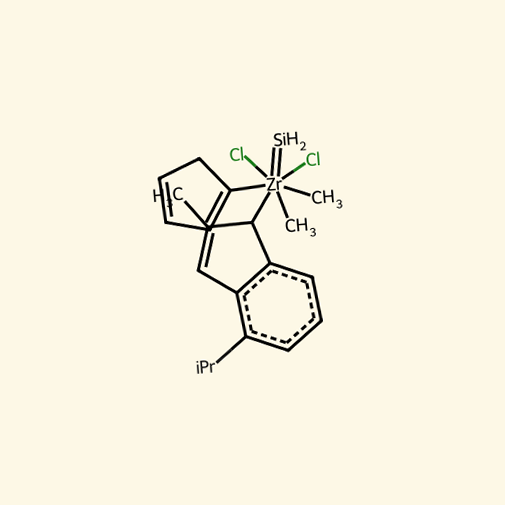 CC1=Cc2c(C(C)C)cccc2[CH]1[Zr]([CH3])([CH3])(=[SiH2])([Cl])([Cl])[C]1=CC=CC1